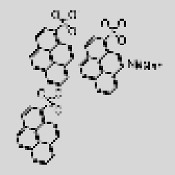 O=S(=O)([O-])c1ccc2ccc3cccc4ccc1c2c34.O=S(=O)([O-])c1ccc2ccc3cccc4ccc1c2c34.O=S(=O)([O-])c1ccc2ccc3cccc4ccc1c2c34.[Na+].[Na+].[Na+]